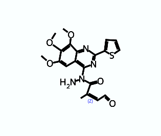 COc1cc2c(N(N)C(=O)/C(C)=C\C=O)nc(-c3cccs3)nc2c(OC)c1OC